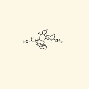 CC(=O)N1[C@H](CC23CC4CC(CC(C4)C2)C3)C(=O)N(Cc2ccc(C)cc2)c2ccccc2C(=O)C[C@H]1C(=O)NCC(=O)O